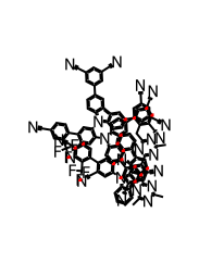 Cc1nc(C)nc(-c2ccc3c4ccccc4n(-c4cc(-c5ccc(C#N)cc5C(F)(F)F)c(C#N)cc4-n4c5ccccc5c5ccc(-c6nc(C)nc(Cc7c(C#N)cc(C#N)cc7-c7ccc8c(c7)c7cc(-c9cc(C#N)cc(C#N)c9)ccc7n8-c7cc(-c8ccc(C#N)cc8C(F)(F)F)c(C#N)cc7-n7c8ccc(-c9cc(C#N)cc(C#N)c9)cc8c8cc(-c9cc(C#N)cc(C#N)c9)ccc87)n6)cc54)c3c2)n1